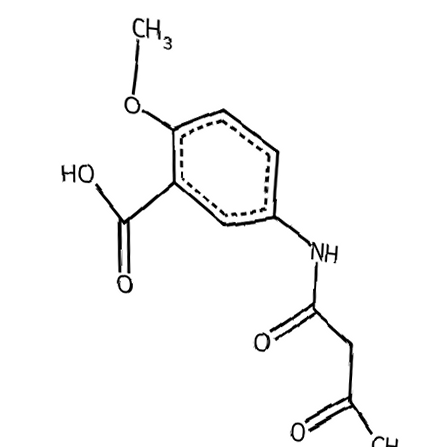 COc1ccc(NC(=O)CC(C)=O)cc1C(=O)O